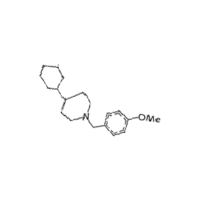 COc1ccc(CN2CCC(C3C[CH]CCC3)CC2)cc1